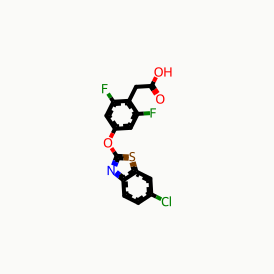 O=C(O)Cc1c(F)cc(Oc2nc3ccc(Cl)cc3s2)cc1F